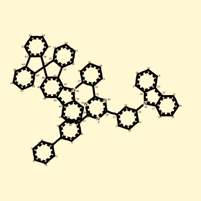 c1ccc(-c2ccc(-c3nc(-c4cccc(-n5c6ccccc6c6ccccc65)c4)nc(-c4ccccc4-n4c5ccccc5c5ccc6c(c54)-c4ccccc4C64c5ccccc5-c5ccccc54)n3)cc2)cc1